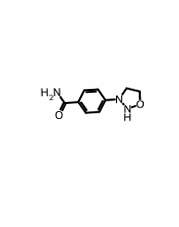 NC(=O)c1ccc(N2CCON2)cc1